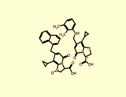 Cc1cccc(NCc2cc(=O)n3c(c2C2CC2)SC[C@H]3C(=O)O)c1C.O=C(O)C1C[S+]([O-])c2c(C3CC3)c(Cc3cccc4ccccc34)cc(=O)n21